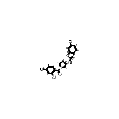 O=C(c1ccc(Cl)cc1Cl)N1CC[C@@H](Nc2nc3ccc(Cl)cc3o2)C1